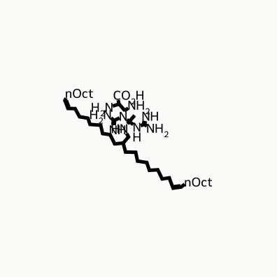 CCCCCCCC/C=C\CCCCCCCCC(CCCCCCCC/C=C\CCCCCCCC)CNC(C)(NC(=N)N)N(C(=N)N)C(N)C(N)C(=O)O